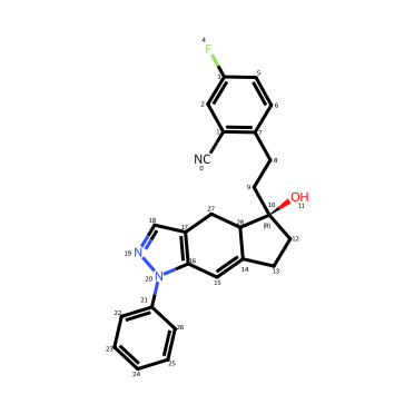 N#Cc1cc(F)ccc1CC[C@]1(O)CCC2=Cc3c(cnn3-c3ccccc3)CC21